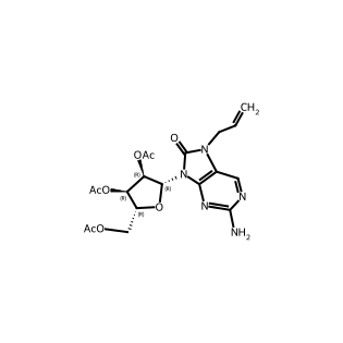 C=CCn1c(=O)n([C@@H]2O[C@H](COC(C)=O)[C@@H](OC(C)=O)[C@H]2OC(C)=O)c2nc(N)ncc21